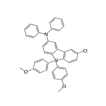 COc1ccc([Si]2(c3ccc(OC)cc3)c3ccc(Cl)cc3-c3cc(N(c4ccccc4)c4ccccc4)ccc32)cc1